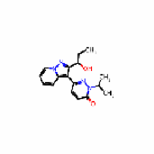 CCC(O)c1nn2ccccc2c1-c1ccc(=O)n(C(C)C)n1